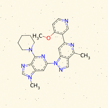 COc1ccncc1-c1cc2c(cnn2-c2cc3c(ncn3C)c(N3CCCCC3)n2)c(C)n1